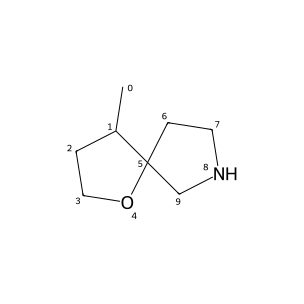 CC1CCOC12CCNC2